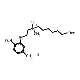 CCCCCCCCCCCCCCCC[N+](C)(C)CCNc1cc(C)ccc1[N+](=O)[O-].[Br-]